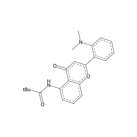 CN(C)c1ccccc1-c1cc(=O)c2c(NC(=O)C(C)(C)C)cccc2o1